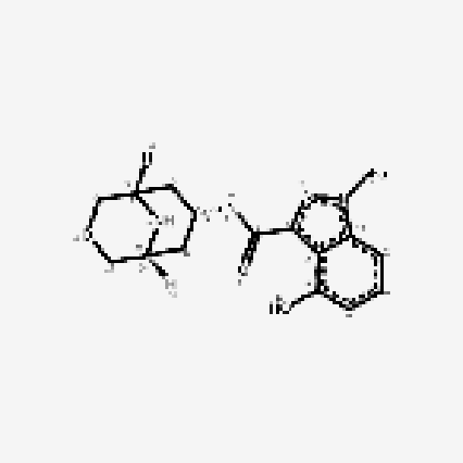 CCC(C)n1nc(C(=O)N[C@H]2C[C@H]3COC[C@@H](C2)N3)c2c(O)cccc21